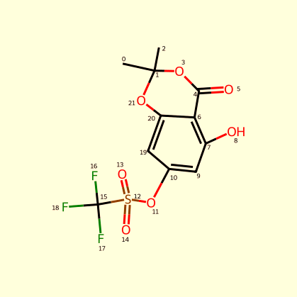 CC1(C)OC(=O)c2c(O)cc(OS(=O)(=O)C(F)(F)F)cc2O1